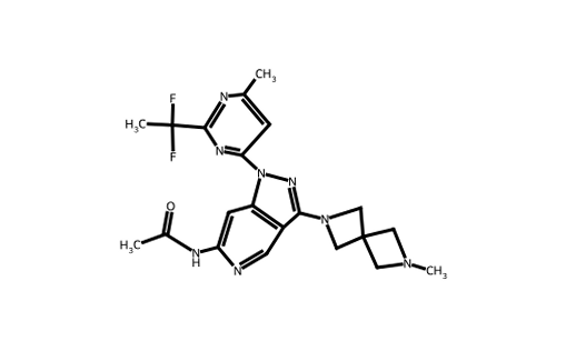 CC(=O)Nc1cc2c(cn1)c(N1CC3(CN(C)C3)C1)nn2-c1cc(C)nc(C(C)(F)F)n1